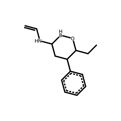 C=CNC1BOC(CC)C(c2ccccc2)C1